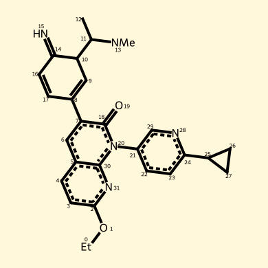 CCOc1ccc2cc(C3=CC(C(C)NC)C(=N)C=C3)c(=O)n(-c3ccc(C4CC4)nc3)c2n1